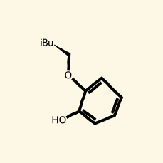 CC[C@H](C)COc1ccccc1O